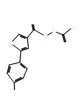 NC(=O)NNC(=O)c1csc(-c2ccc(F)cc2)c1